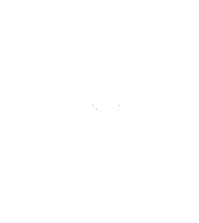 COc1ccc(/N=C/C=C/c2ccccc2)cc1